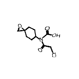 O=C(O)N(C(=O)CCl)C1CCC2(CC1)CO2